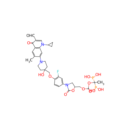 Cc1cc2c(=O)c(C=O)cn(C3CC3)c2cc1N1CCC(O)(COc2ccc(N3CC(COC(=O)OC(C)(P(O)O)P(O)O)OC3=O)cc2F)CC1